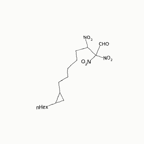 CCCCCCC1CC1CCCCCC([N+](=O)[O-])C([C]=O)([N+](=O)[O-])[N+](=O)[O-]